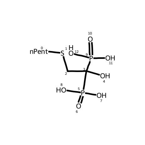 CCCCCSCC(O)(P(=O)(O)O)P(=O)(O)O